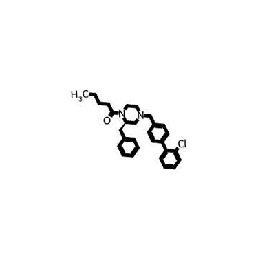 CCCCC(=O)N1CCN(Cc2ccc(-c3ccccc3Cl)cc2)C[C@H]1Cc1ccccc1